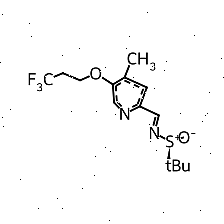 Cc1cc(/C=N/[S@@+]([O-])C(C)(C)C)ncc1OCCC(F)(F)F